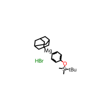 Br.CC(C)(C)[Si](C)(C)Oc1cc[c]([Mg][C]23CC4CC(CC(C4)C2)C3)cc1